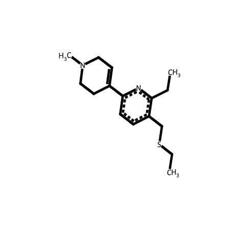 CCSCc1ccc(C2=CCN(C)CC2)nc1CC